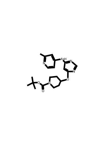 Cc1cc([AsH]c2cc(OC3CCN(C(=O)OC(C)(C)C)CC3)ncn2)ccn1